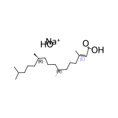 C/C(=C\C(=O)O)CCC[C@H](C)CCC[C@H](C)CCCC(C)C.[Na+].[OH-]